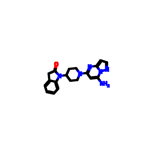 Nc1cc(N2CCC(N3C(=O)Cc4ccccc43)CC2)nc2ccnn12